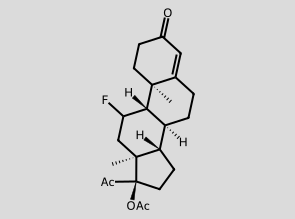 CC(=O)O[C@]1(C(C)=O)CC[C@H]2[C@@H]3CCC4=CC(=O)CC[C@]4(C)[C@H]3C(F)C[C@@]21C